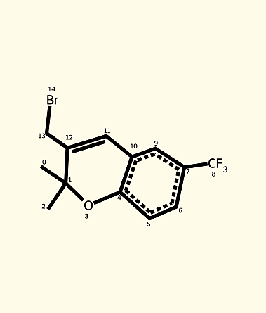 CC1(C)Oc2ccc(C(F)(F)F)cc2C=C1CBr